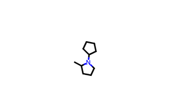 CC1CCCN1C1CCCC1